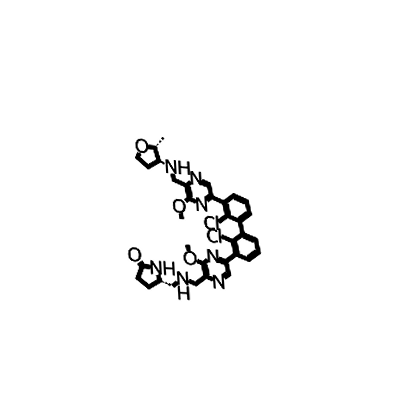 COc1nc(-c2cccc(-c3cccc(-c4cnc(CN[C@@H]5CCO[C@@H]5C)c(OC)n4)c3Cl)c2Cl)cnc1CNC[C@@H]1CCC(=O)N1